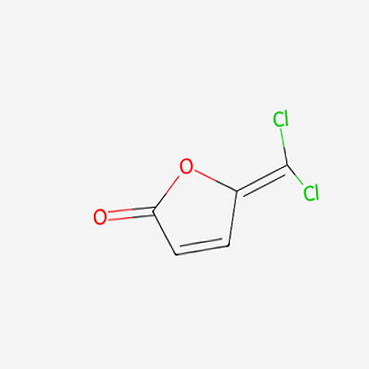 O=C1C=CC(=C(Cl)Cl)O1